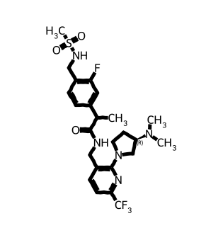 CC(C(=O)NCc1ccc(C(F)(F)F)nc1N1CC[C@@H](N(C)C)C1)c1ccc(CNS(C)(=O)=O)c(F)c1